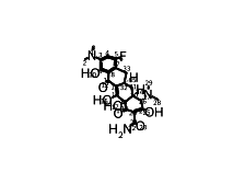 CN(C)c1cc(F)c2c(c1O)C(=O)C1=C(O)[C@]3(O)C(=O)C(C(N)=O)=C(O)[C@@H](N(C)C)[C@@H]3C[C@@H]1C2